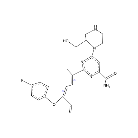 C=C/C(=C\C=C(/C)c1nc(C(N)=O)cc(N2CCNCC2CO)n1)Oc1ccc(F)cc1